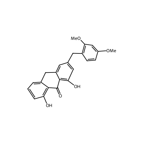 COc1ccc(Cc2cc(O)c3c(c2)Cc2cccc(O)c2C3=O)c(OC)c1